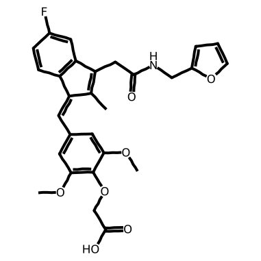 COc1cc(C=C2C(C)=C(CC(=O)NCc3ccco3)c3cc(F)ccc32)cc(OC)c1OCC(=O)O